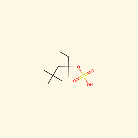 CCC(C)(CC(C)(C)C)OS(=O)(=O)O